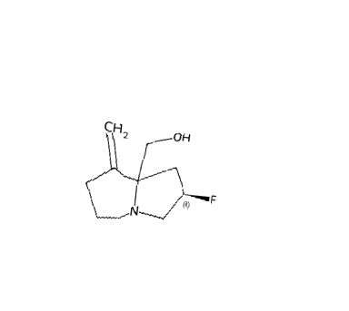 C=C1CCN2C[C@H](F)CC12CO